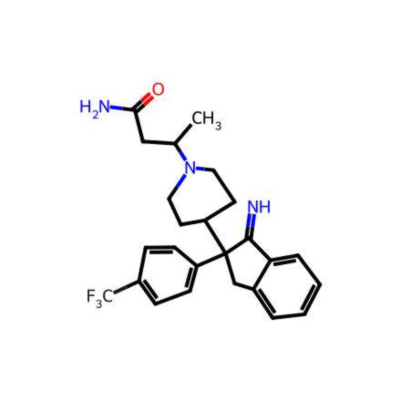 CC(CC(N)=O)N1CCC(C2(c3ccc(C(F)(F)F)cc3)Cc3ccccc3C2=N)CC1